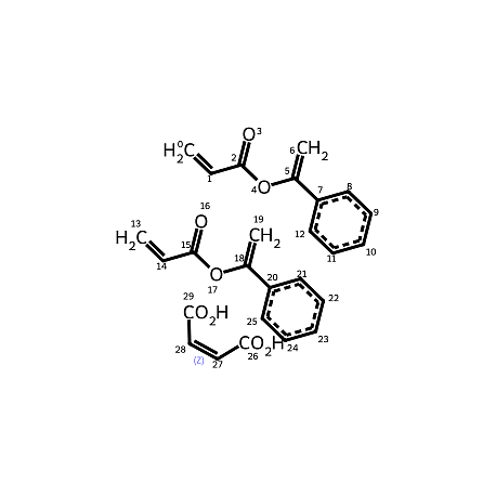 C=CC(=O)OC(=C)c1ccccc1.C=CC(=O)OC(=C)c1ccccc1.O=C(O)/C=C\C(=O)O